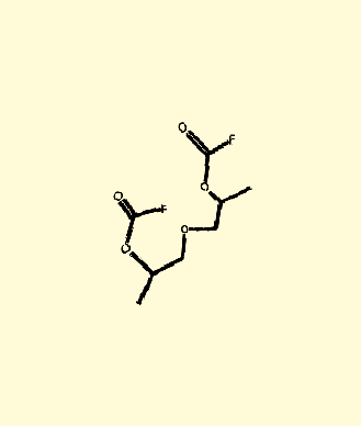 CC(COCC(C)OC(=O)F)OC(=O)F